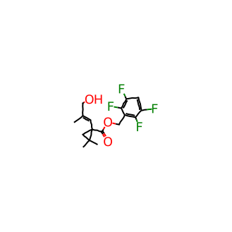 C/C(=C\C1(C(=O)OCc2c(F)c(F)cc(F)c2F)CC1(C)C)CO